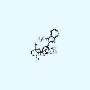 Cn1c(-c2cc(N3[C@@H]4CC[C@H]3CN(C(=O)CO)C4)ncc2Cl)nc2ccccc21